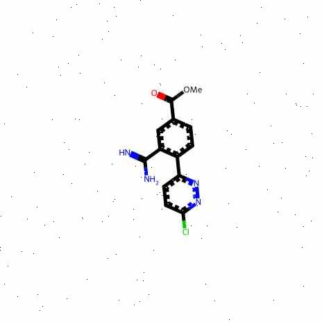 COC(=O)c1ccc(-c2ccc(Cl)nn2)c(C(=N)N)c1